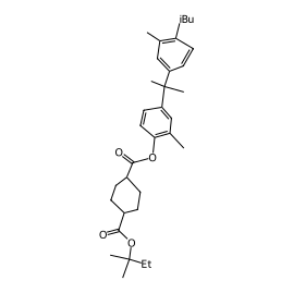 CCC(C)c1ccc(C(C)(C)c2ccc(OC(=O)C3CCC(C(=O)OC(C)(C)CC)CC3)c(C)c2)cc1C